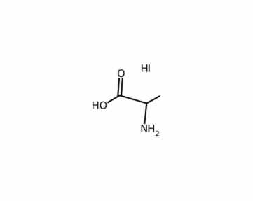 CC(N)C(=O)O.I